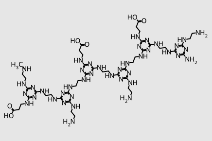 CNCCNc1nc(NCCNc2nc(NCCN)nc(NCCNc3nc(NCCNc4nc(NCCN)nc(NCCNc5nc(NCCNc6nc(N)nc(NCCN)n6)nc(NCCC(=O)O)n5)n4)nc(NCCC(=O)O)n3)n2)nc(NCCC(=O)O)n1